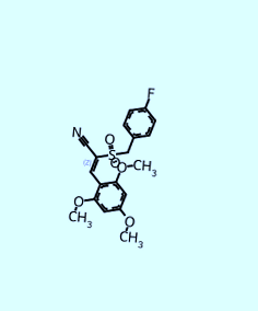 COc1cc(OC)c(/C=C(/C#N)S(=O)(=O)Cc2ccc(F)cc2)c(OC)c1